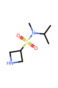 CC(C)N(C)S(=O)(=O)C1CNC1